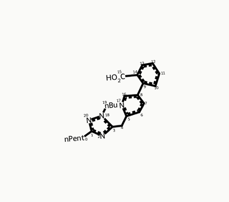 CCCCCc1nc(Cc2ccc(-c3ccccc3C(=O)O)cn2)n(CCCC)n1